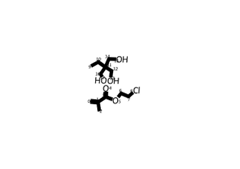 C=C(C)C(=O)OCCCl.CCC(CO)(CO)CO